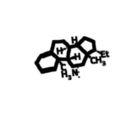 CC[C@H]1CC[C@H]2[C@@H]3CCC4=CCC=C[C@]4(C)[C@H]3CC[C@]12C.[N]